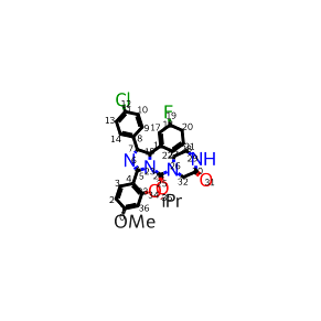 COc1ccc(C2=NC(c3ccc(Cl)cc3)C(C3=CC(F)CC=C3)N2C(=O)N2CCNC(=O)C2)c(OC(C)C)c1